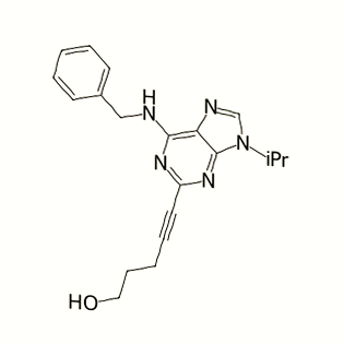 CC(C)n1cnc2c(NCc3ccccc3)nc(C#CCCCO)nc21